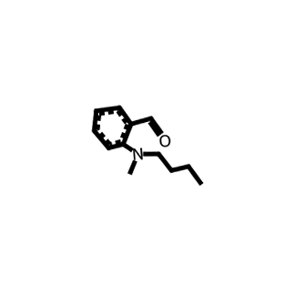 CCCCN(C)c1ccccc1C=O